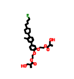 C=C(CO)C(=O)OCCOc1ccc(-c2ccc(C3CCC(CCCCF)CC3)c(C)c2)cc1OCCOC(=O)C(=C)CO